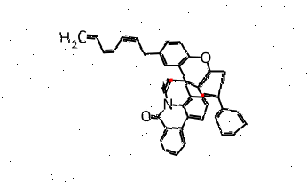 C=C/C=C\C=C/Cc1ccc2c(c1)C1(c3cc(-c4ccccc4)ccc3O2)c2ccccc2-n2c(=O)c3ccccc3c3cccc1c32